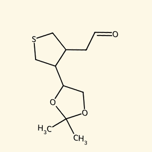 CC1(C)OCC(C2CSCC2CC=O)O1